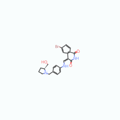 O=C1NC(=O)c2ccc(Br)cc2/C1=C/Nc1ccc(CN2CCC[C@H]2CO)cc1